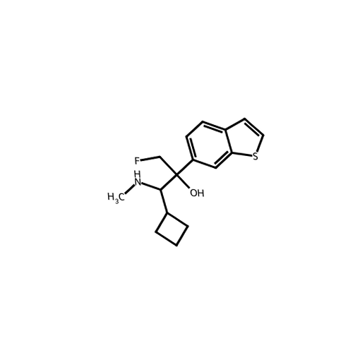 CNC(C1CCC1)C(O)(CF)c1ccc2ccsc2c1